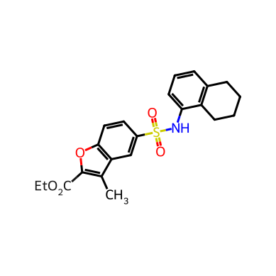 CCOC(=O)c1oc2ccc(S(=O)(=O)Nc3cccc4c3CCCC4)cc2c1C